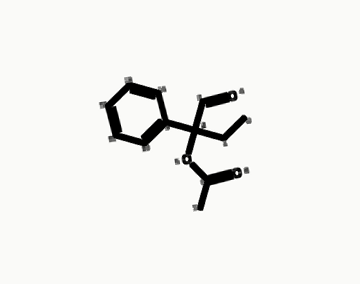 CCC(C=O)(OC(C)=O)c1ccccc1